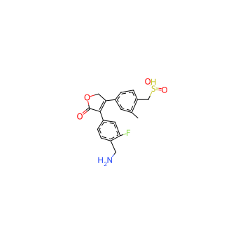 Cc1cc(C2=C(c3ccc(CN)c(F)c3)C(=O)OC2)ccc1C[SH](=O)=O